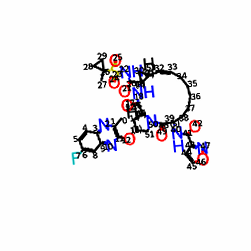 Cc1nc2ccc(F)cc2nc1O[C@@H]1C[C@H]2C(=O)N[C@]3(C(=O)NS(=O)(=O)C4(C)CC4)C[C@H]3C=CCCCCC[C@H](NC(=O)c3ccon3)C(=O)N2C1